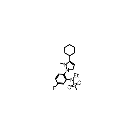 CCN(c1cc(F)ccc1N1CC=C(C2CCCCC2)N1C)S(C)(=O)=O